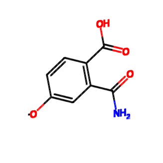 NC(=O)c1cc([O])ccc1C(=O)O